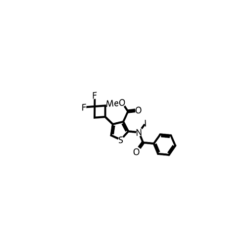 COC(=O)c1c(C2CC(F)(F)C2)csc1N(I)C(=O)c1ccccc1